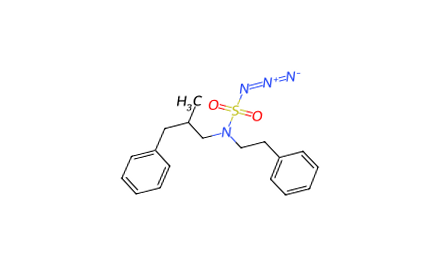 CC(Cc1ccccc1)CN(CCc1ccccc1)S(=O)(=O)N=[N+]=[N-]